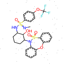 CN=S(=O)(NC1CCCC(N2c3ccccc3Oc3ccccc3S2(=O)=O)C1O)c1ccc(OC(F)(F)F)cc1